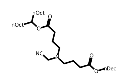 CCCCCCCCCCOC(=O)CCCN(CC#N)CCCC(=O)OC(CCCCCCCC)CCCCCCCC